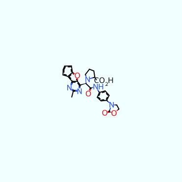 Cc1nc([C@H](C(=O)Nc2ccc(N3CCOC3=O)cc2)N2CCCC2C(=O)O)c2oc3ccccc3c2n1